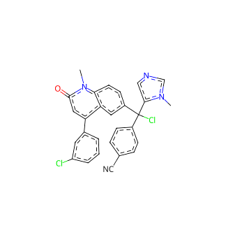 Cn1cncc1C(Cl)(c1ccc(C#N)cc1)c1ccc2c(c1)c(-c1cccc(Cl)c1)cc(=O)n2C